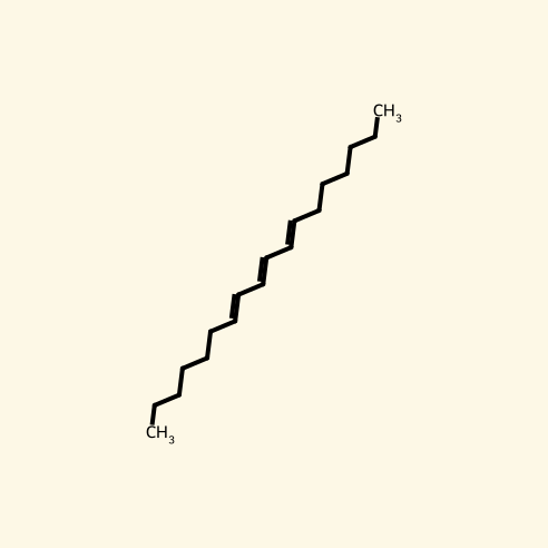 CCCCCCC=CC=CC=CCCCCCC